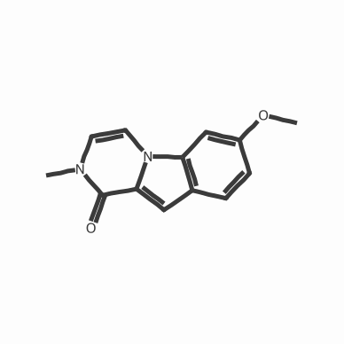 COc1ccc2cc3c(=O)n(C)ccn3c2c1